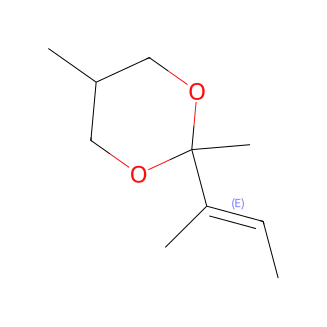 C/C=C(\C)C1(C)OCC(C)CO1